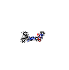 O=C1c2cc(N3CCN(CCC(c4ccccc4)c4ccccc4)CC3)ccc2OCN1C1CCCCC1